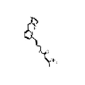 CC(N)=CC(=O)OCC=Cc1cccc(Cc2ncc[nH]2)n1